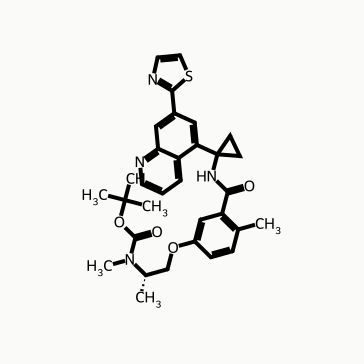 Cc1ccc(OC[C@H](C)N(C)C(=O)OC(C)(C)C)cc1C(=O)NC1(c2cc(-c3nccs3)cc3ncccc23)CC1